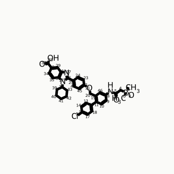 CP(C)(=O)CC(=O)Nc1ccc(-c2ccc(Cl)cc2)c(COc2ccc(-c3nc4cc(C(=O)O)ccc4n3C3CCCCC3)cc2)c1